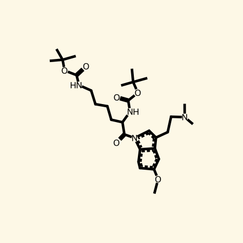 COc1ccc2c(c1)c(CCN(C)C)cn2C(=O)C(CCCCNC(=O)OC(C)(C)C)NC(=O)OC(C)(C)C